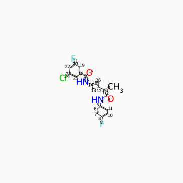 C[C@H](C(=O)Nc1ccc(F)cc1)C12CC(NC(=O)c3cc(F)cc(Cl)c3)(C1)C2